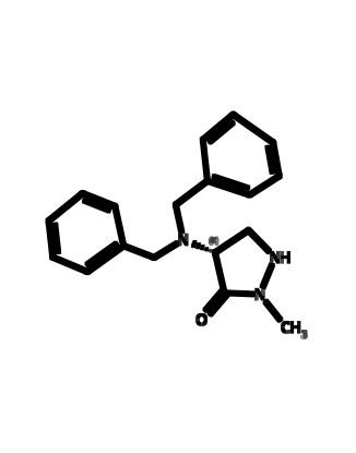 CN1NC[C@@H](N(Cc2ccccc2)Cc2ccccc2)C1=O